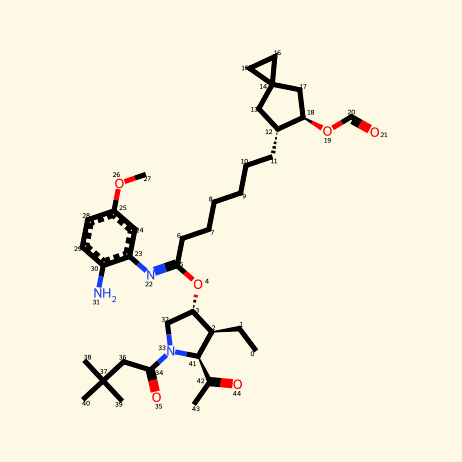 CC[C@@H]1[C@@H](O/C(CCCCCC[C@@H]2CC3(CC3)C[C@H]2OC=O)=N/c2cc(OC)ccc2N)CN(C(=O)CC(C)(C)C)[C@@H]1C(C)=O